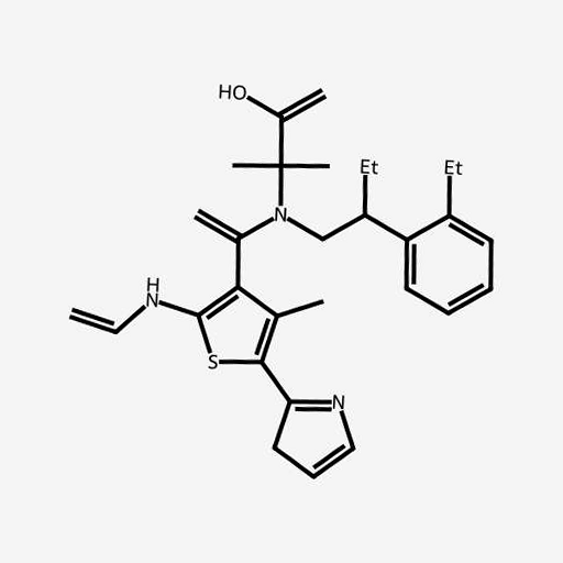 C=CNc1sc(C2=NC=CC2)c(C)c1C(=C)N(CC(CC)c1ccccc1CC)C(C)(C)C(=C)O